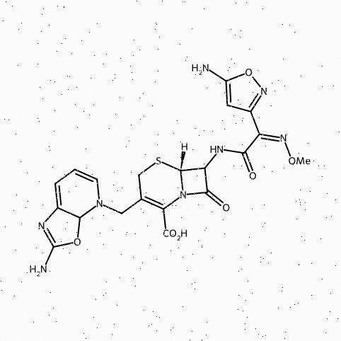 CO/N=C(\C(=O)NC1C(=O)N2C(C(=O)O)=C(CN3C=CC=C4N=C(N)OC43)CS[C@H]12)c1cc(N)on1